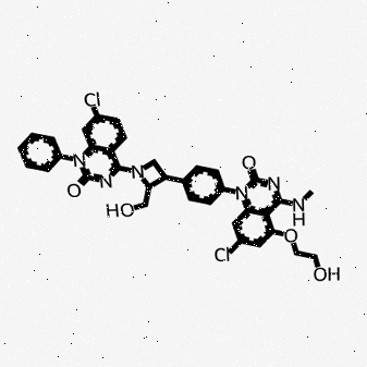 CNc1nc(=O)n(-c2ccc(C3CN(c4nc(=O)n(-c5ccccc5)c5cc(Cl)ccc45)C3CO)cc2)c2cc(Cl)cc(OCCO)c12